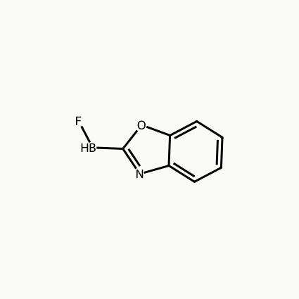 FBc1nc2ccccc2o1